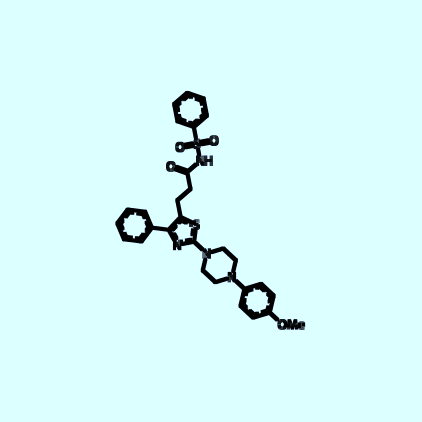 COc1ccc(N2CCN(c3nc(-c4ccccc4)c(CCC(=O)NS(=O)(=O)c4ccccc4)s3)CC2)cc1